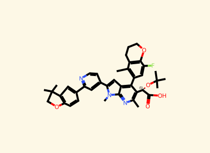 Cc1nc2c(cc(-c3ccnc(-c4ccc5c(c4)C(C)(C)CO5)c3)n2C)c(-c2cc(F)c3c(c2C)CCCO3)c1[C@H](OC(C)(C)C)C(=O)O